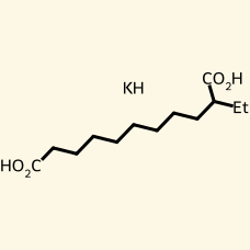 CCC(CCCCCCCCC(=O)O)C(=O)O.[KH]